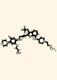 COCCN1CCC(Nc2cccc3c(CC(F)(F)F)c(C#CCNc4cc(F)c(N5CCOCC5)cc4OCCO)sc23)CC1